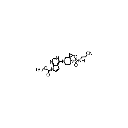 CC(C)(C)OC(=O)n1ccc2c(N3CCN(S(=O)(=O)NCCC#N)C4(CC4)C3)ncnc21